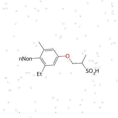 CCCCCCCCCc1c(C)cc(OCC(C)S(=O)(=O)O)cc1CC